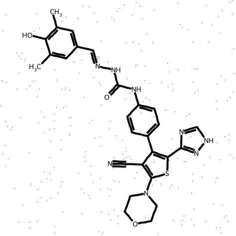 Cc1cc(/C=N/NC(=O)Nc2ccc(-c3c(-c4nc[nH]n4)sc(N4CCOCC4)c3C#N)cc2)cc(C)c1O